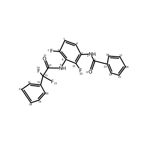 O=C(Nc1ccc(F)c(NC(=O)C(F)(F)c2ccccc2)c1F)c1ccccc1